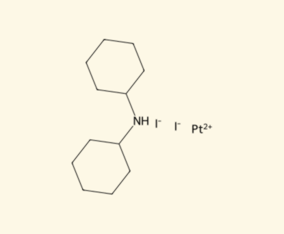 C1CCC(NC2CCCCC2)CC1.[I-].[I-].[Pt+2]